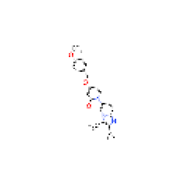 Cc1c(C2CC2)nc2ccc(-n3ccc(OCc4ccc(OC(F)(F)F)cc4)cc3=O)cn12